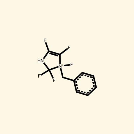 FC1=C(F)[N+](F)(Cc2ccccc2)C(F)(F)N1